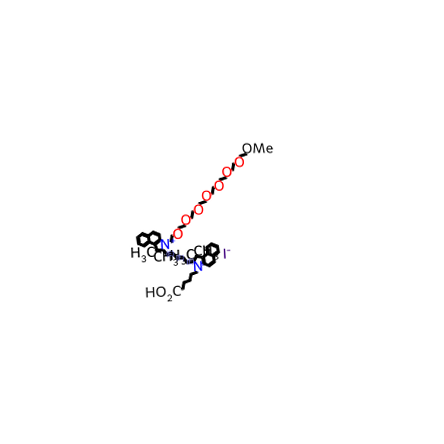 COCCOCCOCCOCCOCCOCCOCCOCC[N+]1=C(/C=C/C=C/C=C2/N(CCCCCC(=O)O)c3ccc4ccccc4c3C2(C)C)C(C)(C)c2c1ccc1ccccc21.[I-]